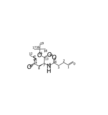 C=CCCC(=O)N[C@@H](CC(=O)SC)C(=O)OC(C)(C)C